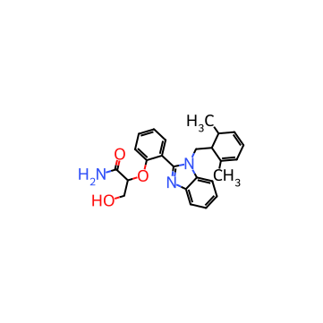 CC1=CC=CC(C)C1Cn1c(-c2ccccc2OC(CO)C(N)=O)nc2ccccc21